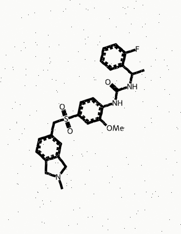 COc1cc(S(=O)(=O)Cc2ccc3c(c2)CN(C)C3)ccc1NC(=O)NC(C)c1ccccc1F